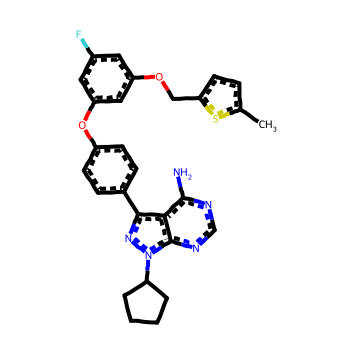 Cc1ccc(COc2cc(F)cc(Oc3ccc(-c4nn(C5CCCC5)c5ncnc(N)c45)cc3)c2)s1